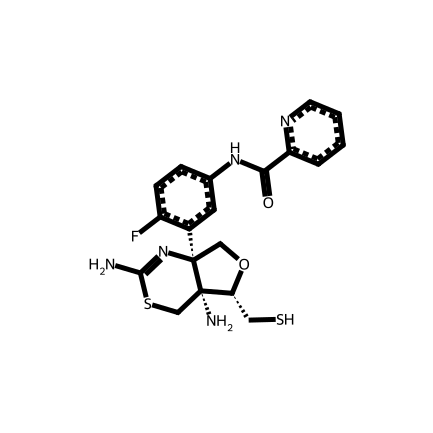 NC1=N[C@@]2(c3cc(NC(=O)c4ccccn4)ccc3F)CO[C@H](CS)[C@@]2(N)CS1